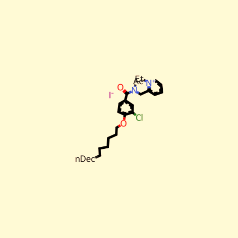 CCCCCCCCCCCCCCCCOc1ccc(C(=O)N(Cc2cccc[n+]2CC)C(C)=O)cc1Cl.[I-]